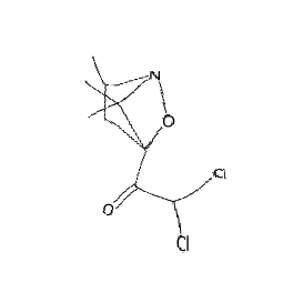 CC1CC2(C(=O)C(Cl)Cl)ON1C2(C)C